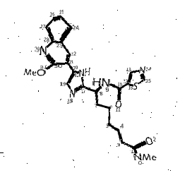 CNC(=O)CCCCCC(NC(=O)c1cncs1)c1ncc(-c2cc3ccccc3nc2OC)[nH]1